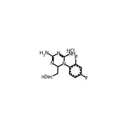 CCCCCCCCCCCC1N=C(N)N=C(N)N1c1ccc(F)cc1F.Cl